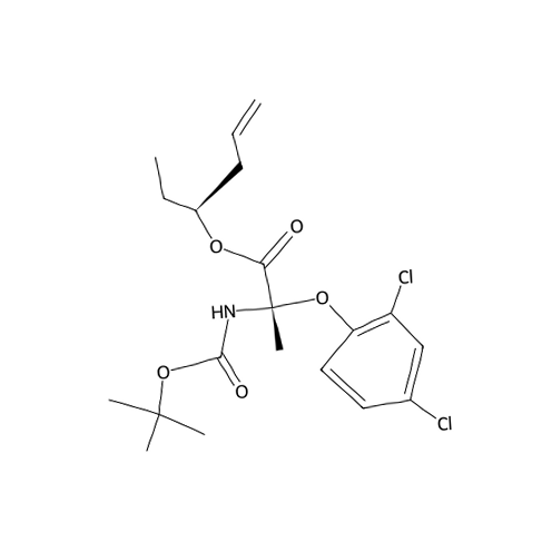 C=CC[C@H](CC)OC(=O)[C@@](C)(NC(=O)OC(C)(C)C)Oc1ccc(Cl)cc1Cl